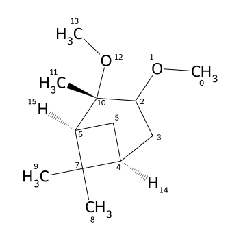 COC1C[C@@H]2C[C@@H](C2(C)C)[C@]1(C)OC